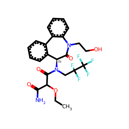 CCOC(C(N)=O)C(=O)N(CC(F)(F)C(F)(F)F)[C@@H]1C(=O)N(CCO)c2ccccc2-c2ccccc21